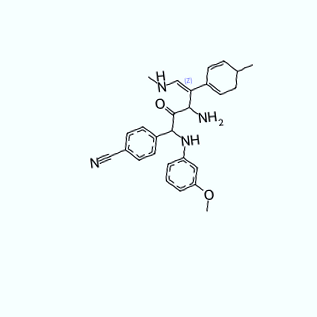 CN/C=C(/C1=CCC(C)C=C1)C(N)C(=O)C(Nc1cccc(OC)c1)c1ccc(C#N)cc1